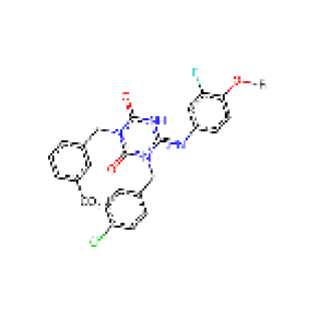 CC(C)Oc1ccc(/N=c2\[nH]c(=O)n(Cc3cccc(C(=O)O)c3)c(=O)n2Cc2ccc(Cl)cc2)cc1F